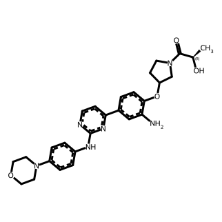 C[C@@H](O)C(=O)N1CCC(Oc2ccc(-c3ccnc(Nc4ccc(N5CCOCC5)cc4)n3)cc2N)C1